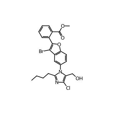 CCCCc1nc(Cl)c(CO)n1-c1ccc2oc(-c3ccccc3C(=O)OC)c(Br)c2c1